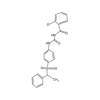 CC(c1ccccc1)S(=O)(=O)c1ccc(NC(=O)NC(=O)c2ccccc2Cl)cc1